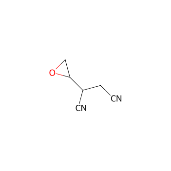 N#CCC(C#N)C1CO1